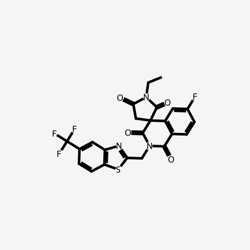 CCN1C(=O)CC2(C1=O)C(=O)N(Cc1nc3cc(C(F)(F)F)ccc3s1)C(=O)c1ccc(F)cc12